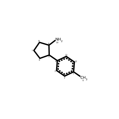 Cc1ccc(C2CCCC2N)cc1